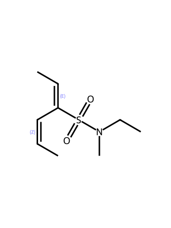 C/C=C\C(=C/C)S(=O)(=O)N(C)CC